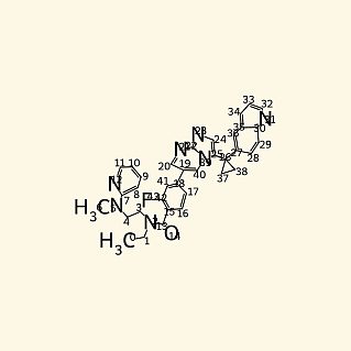 CCN(CCN(C)c1ccccn1)C(=O)c1ccc(-c2cnc3ncc(C4(c5ccc6ncccc6c5)CC4)n3c2)cc1F